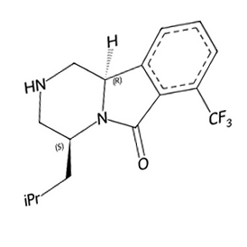 CC(C)C[C@H]1CNC[C@H]2c3cccc(C(F)(F)F)c3C(=O)N12